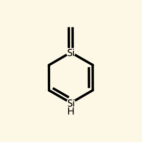 C=[Si]1C=C[SiH]=CC1